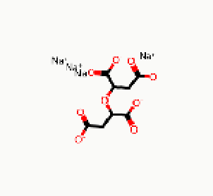 O=C([O-])CC(OC(CC(=O)[O-])C(=O)[O-])C(=O)[O-].[Na+].[Na+].[Na+].[Na+]